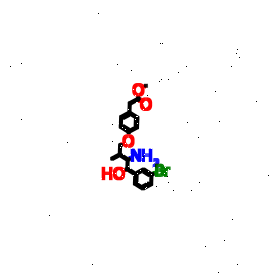 COC(=O)Cc1ccc(OCC(C)C(N)C(O)c2cccc(Br)c2)cc1